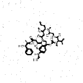 CC[C@H](C)[C@@H]([C@@H](CC(=O)N1CCC[C@H]1[C@H](OC)[C@@H](C)C(=O)N[C@H](C)[C@@H](O)c1ccccc1)OC)N(C)C(=O)CNC(=O)C(C(C)C)N(C)C(=O)OCc1ccc(NC=N)cc1